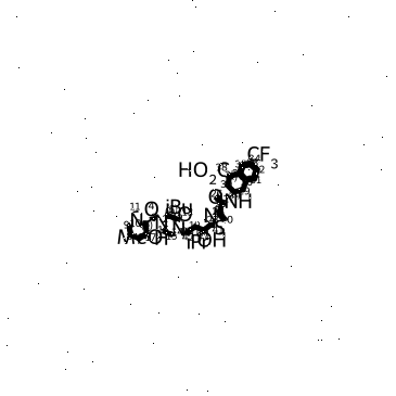 CC[C@H](C)[C@H](NC(=O)[C@H]1CCCCN1C)C(=O)N(CCOC)[C@H](C[C@@H](O)c1nc(C(=O)N[C@H]2Cc3ccc(C(F)(F)F)cc3[C@H](C(=O)O)C2)cs1)C(C)C